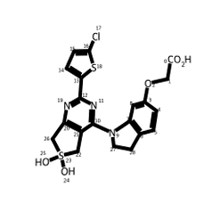 O=C(O)COc1ccc2c(c1)N(c1nc(-c3ccc(Cl)s3)nc3c1CS(O)(O)C3)CC2